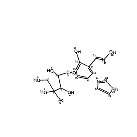 CC(=O)C(O)(CO)C(O)C(O)C=O.ON=Cc1ccccc1O.c1c[nH]nn1